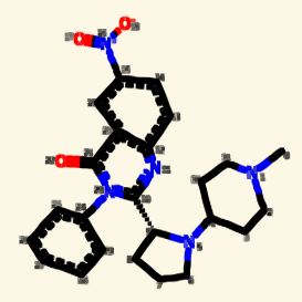 CN1CCC(N2CCC[C@@H]2c2nc3ccc([N+](=O)[O-])cc3c(=O)n2-c2ccccc2)CC1